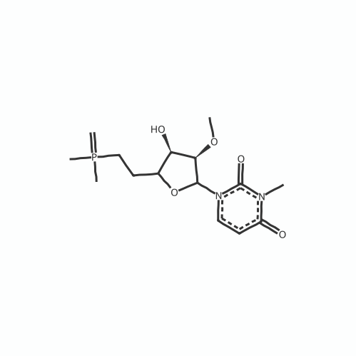 C=P(C)(C)CCC1OC(n2ccc(=O)n(C)c2=O)[C@H](OC)[C@@H]1O